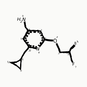 Nc1cc(OCC(F)F)nc(C2CC2)c1